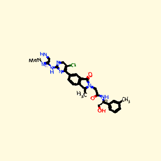 CN/N=C(\C=N)Nc1ncc(Cl)c(-c2ccc3c(c2)C(=O)N(CC(=O)N[C@H](CO)c2cccc(C)c2)C3C)n1